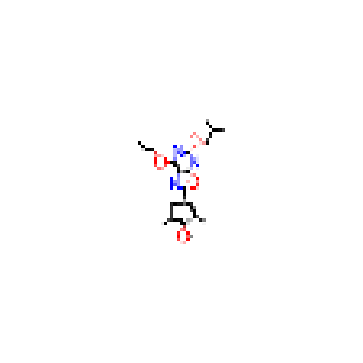 CCCOc1nc(OCC(C)C)nc2oc(-c3cc(C)c([O])c(C)c3)nc12